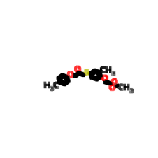 Cc1ccc(OCC(=O)CSc2ccc(OCC3OC(C)O3)c(C)c2)cc1